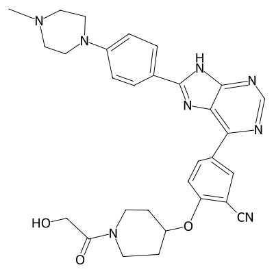 CN1CCN(c2ccc(-c3nc4c(-c5ccc(OC6CCN(C(=O)CO)CC6)c(C#N)c5)ncnc4[nH]3)cc2)CC1